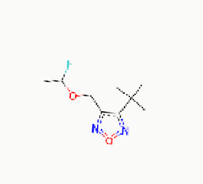 CC(F)OCc1nonc1C(C)(C)C